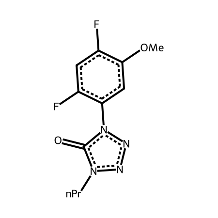 CCCn1nnn(-c2cc(OC)c(F)cc2F)c1=O